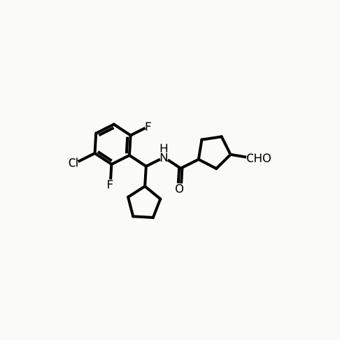 O=CC1CCC(C(=O)NC(c2c(F)ccc(Cl)c2F)C2CCCC2)C1